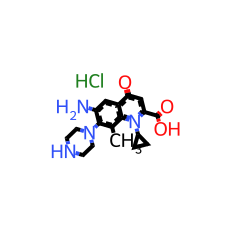 Cc1c(N2CCNCC2)c(N)cc2c(=O)cc(C(=O)O)n(C3CC3)c12.Cl